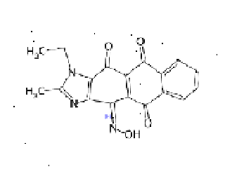 CCn1c(C)nc2/c(=N/O)c3c(=O)c4ccccc4c(=O)c=3c(=O)c21